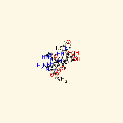 C=C1C(NC(C)C(=O)N2CCOCC2)CC2[C@](C)(CC[C@@H](O)[C@@]2(C)CO)C1CC(NC(C)C(=O)Nc1ncc[nH]1)C1=C/C(=C(/C(=O)OCC)c2cnc(N)nc2)OC1=O